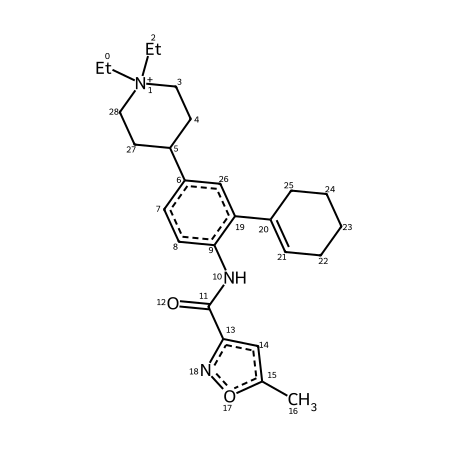 CC[N+]1(CC)CCC(c2ccc(NC(=O)c3cc(C)on3)c(C3=CCCCC3)c2)CC1